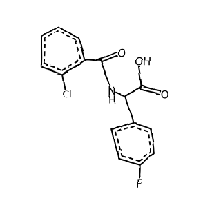 O=C(NC(C(=O)O)c1ccc(F)cc1)c1ccccc1Cl